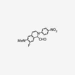 CNc1cc2c(cc1F)C(C=O)N(c1ccc([N+](=O)[O-])cc1)C=C2